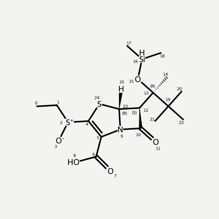 CC[S+]([O-])C1=C(C(=O)O)N2C(=O)[C@H]([C@@](C)(O[SiH](C)C)C(C)(C)C)[C@H]2S1